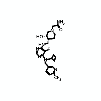 NC(=O)CN1CC[C@@H](CNc2ncnc(N(Cc3ccc(C(F)(F)F)nc3)C3CCC3)c2F)[C@H](O)C1